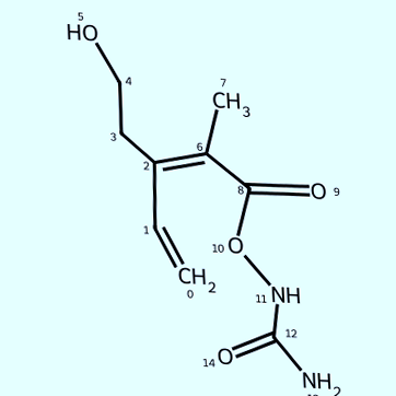 C=CC(CCO)=C(C)C(=O)ONC(N)=O